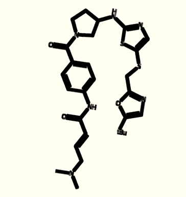 CN(C)C/C=C/C(=O)Nc1ccc(C(=O)N2CCC(Nc3ncc(SCc4ncc(C(C)(C)C)o4)s3)C2)cc1